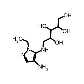 CCn1ncc(N)c1NCC(O)C(O)C(O)CO